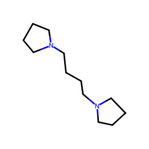 C1CCN(CCCCN2CCCC2)C1